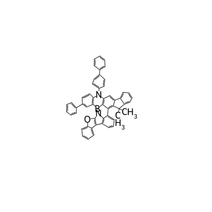 CC1(C)c2ccccc2-c2cc3c4c(c21)-c1cccc2c5c6ccccc6oc5n(c12)B4c1cc(-c2ccccc2)ccc1N3c1ccc(-c2ccccc2)cc1